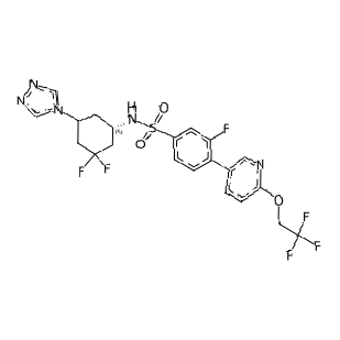 O=S(=O)(N[C@H]1CC(n2cnnc2)CC(F)(F)C1)c1ccc(-c2ccc(OCC(F)(F)F)nc2)c(F)c1